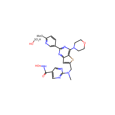 COc1ccc(-c2nc(N3CCOCC3)c3sc(CN(C)c4ncc(C(=O)NO)cn4)cc3n2)cn1.O=S(=O)(O)O